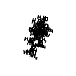 CC[C@@H](C)[C@@H](NC(=O)[C@@H](CCC(N)=O)NC(=O)[C@H](C)NC(=O)[C@@H](NC(=O)[C@@H](Cc1ccccc1)NC)[C@@H](C)CC)C(=O)N[C@H](C(=O)N[C@@H](CO)C(=O)N[C@H]1C(=O)N[C@@H](C)C(=O)N[C@@H](CCCNC(=N)N)C(=O)N[C@@H]([C@@H](C)CC)C(=O)O[C@H]1C)[C@@H](C)CC